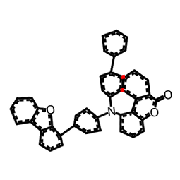 O=c1oc2cccc(N(c3ccc(-c4ccccc4)cc3)c3ccc(-c4cccc5c4oc4ccccc45)cc3)c2c2ccccc12